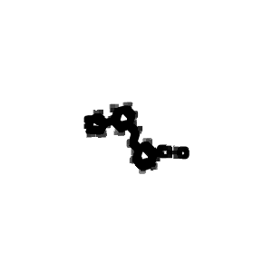 O=Cc1cccc(C=Cc2cccc(-c3ccsc3)c2)c1